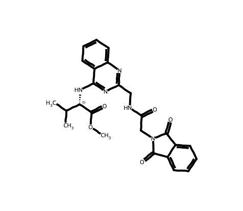 COC(=O)[C@@H](Nc1nc(CNC(=O)CN2C(=O)c3ccccc3C2=O)nc2ccccc12)C(C)C